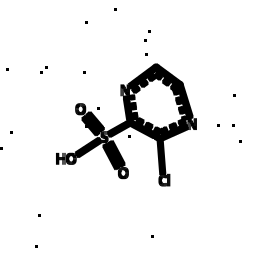 O=S(=O)(O)c1nccnc1Cl